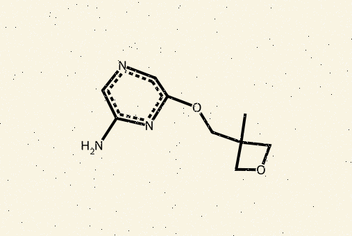 CC1(COc2cncc(N)n2)COC1